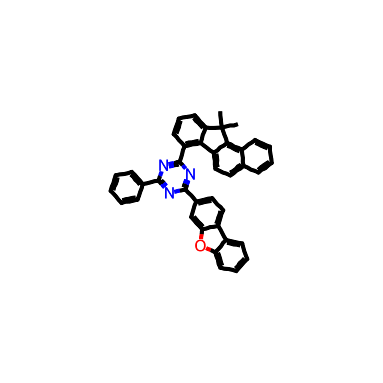 CC1(C)c2cccc(-c3nc(-c4ccccc4)nc(-c4ccc5c(c4)oc4ccccc45)n3)c2-c2ccc3ccccc3c21